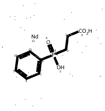 O=C(O)CCP(=O)(O)c1ccccc1.[Nd]